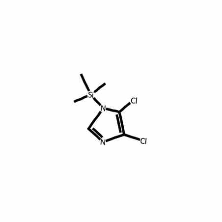 C[Si](C)(C)n1cnc(Cl)c1Cl